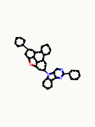 c1ccc(-c2cc3oc4cc(-n5c6ccccc6c6nc(-c7ccccc7)ncc65)cc5c6ccccc6c(c2)c3c45)cc1